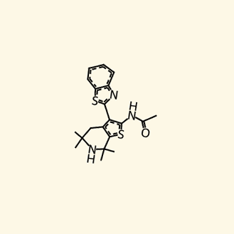 CC(=O)Nc1sc2c(c1-c1nc3ccccc3s1)CC(C)(C)NC2(C)C